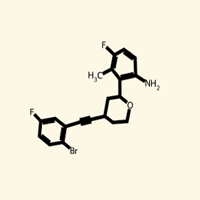 Cc1c(F)ccc(N)c1C1CC(C#Cc2cc(F)ccc2Br)CCO1